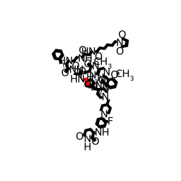 CCC1C(=O)N(C)c2cnc(C3C(OC)=CC=CC3(N)C(=O)NC3(CCOCNC(=O)CNC(=O)[C@H](Cc4ccccc4)NC(=O)CNC(=O)CNC(=O)CCCCCN4C(=O)C=CC4=O)CCN(CC4CCN(c5ccc(NC6CCC(=O)NC6=O)cc5F)CC4)CC3)nc2N1C1CCCC1